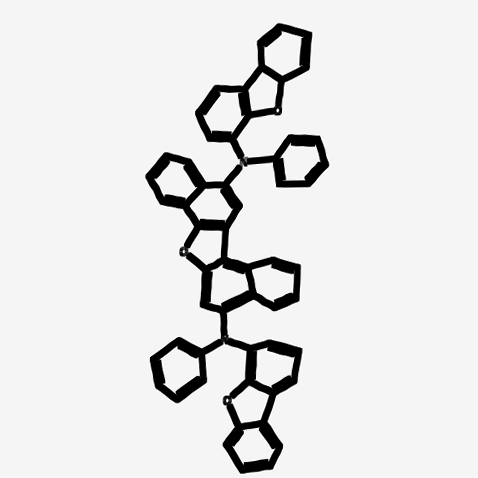 C1=CC2Oc3c(cccc3N(c3ccccc3)c3cc4c(oc5cc(N(c6ccccc6)c6cccc7c6oc6ccccc67)c6ccccc6c54)c4ccccc34)C2C=C1